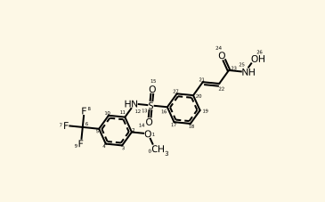 COc1ccc(C(F)(F)F)cc1NS(=O)(=O)c1cccc(/C=C/C(=O)NO)c1